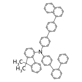 CC1(C)c2ccccc2-c2c(N(c3ccc(-c4ccc(-c5cccc6ccccc56)cc4)cc3)c3ccc(-c4ccccc4-c4ccccc4)cc3)cccc21